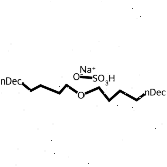 CCCCCCCCCCCCCCOCCCCCCCCCCCCCC.O=S(=O)([O-])O.[Na+]